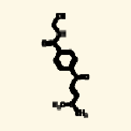 CN(C)C=CC(=O)c1ccc(C(=O)NCC#N)cc1